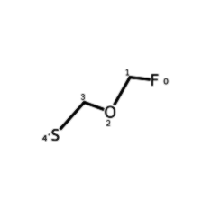 FCOC[S]